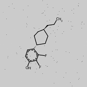 CCC[C@H]1CC[C@H](c2ccc(O)c(F)c2F)CC1